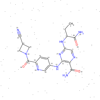 CCC(Nc1cnc(C(N)=O)c(Nc2ccc(C(=O)N3CC(C#N)C3)nc2)n1)C(N)=O